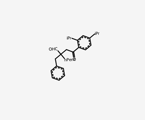 CCCCCC(C=O)(CC(=O)c1ccc(C(C)C)cc1C(C)C)Cc1ccccc1